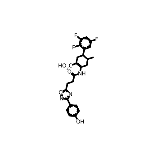 CC1CC(NC(=O)CCc2nc(-c3ccc(O)cc3)no2)=C(C(=O)O)CC1c1cc(F)cc(F)c1F